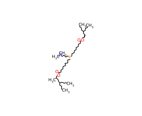 CCCCC(C/C=C\COC(=O)CCCCCCCCCP(CCCCCCCCCC(=O)OCC(C)CCC(CCCC)CCCC)CCCCN(C)C)CCCC